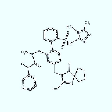 CCCCC1=NC2(CCCC2)C(=O)N1Cc1ccc(-c2ccccc2S(=O)(=O)Nc2noc(C)c2C)c(CN(C)C(=O)C(F)c2ccccc2)c1